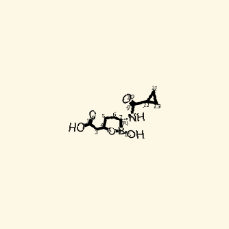 O=C(O)CC1CC[C@H](NC(=O)C2CC2)B(O)O1